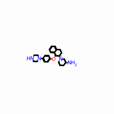 N[C@H]1CCCN([C@H]2CCc3ccccc3[C@@H]2Oc2ccc(N3CCNCC3)cc2)C1